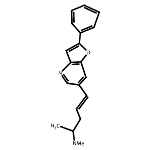 CNC(C)C/C=C/c1cnc2cc(-c3ccccc3)oc2c1